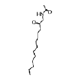 CCCCCCCCCCCC(=O)CNC(C)=O